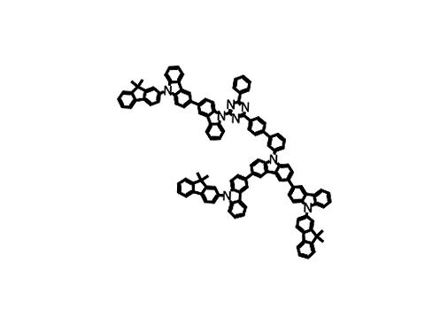 CC1(C)c2ccccc2-c2ccc(-n3c4ccccc4c4cc(-c5ccc6c(c5)c5cc(-c7ccc8c(c7)c7ccccc7n8-c7ccc8c(c7)C(C)(C)c7ccccc7-8)ccc5n6-c5cccc(-c6ccc(-c7nc(-c8ccccc8)nc(-n8c9ccccc9c9cc(-c%10ccc%11c(c%10)c%10ccccc%10n%11-c%10ccc%11c(c%10)C(C)(C)c%10ccccc%10-%11)ccc98)n7)cc6)c5)ccc43)cc21